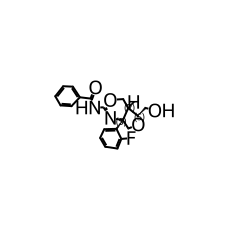 O=C(NC1=N[C@@]2(c3ccccc3F)CO[C@H](CO)[C@H]2CO1)c1ccccc1